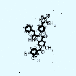 C[C@H]1CC2=C(CN1C(=O)c1ccc(Br)c(C(F)(F)F)c1)N1NCC(Cc3ccccc3)=C1N(c1ccc(-c3noc(=O)n3C)cc1)C2=O